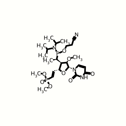 CO[C@@H]1[C@H]([C@@H](C)P(OCCC#N)N(C(C)C)C(C)C)[C@@H](/C=C/P(=O)(OC)OC)O[C@H]1n1ccc(=O)[nH]c1=O